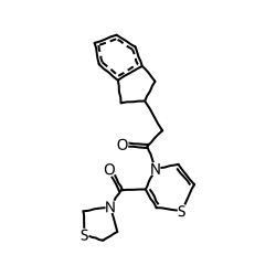 O=C(C1=CSC=CN1C(=O)CC1Cc2ccccc2C1)N1CCSC1